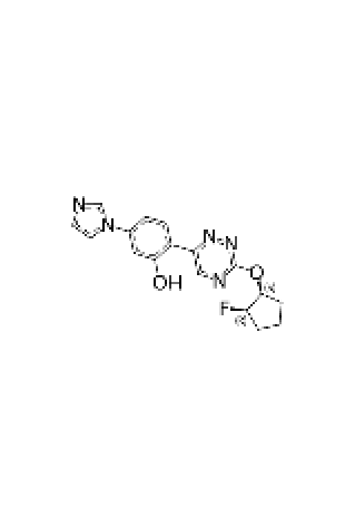 Oc1cc(-n2ccnc2)ccc1-c1cnc(O[C@H]2CCC[C@H]2F)nn1